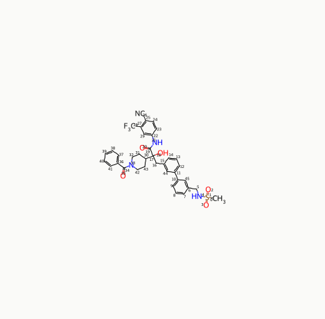 CS(=O)(=O)NCc1cccc(-c2cccc(CC(O)(C(=O)Nc3ccc(C#N)c(C(F)(F)F)c3)C3CCN(C(=O)c4ccccc4)CC3)c2)c1